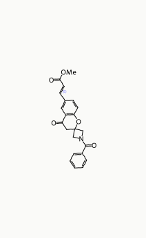 COC(=O)/C=C/c1ccc2c(c1)C(=O)CC1(CN(C(=O)c3ccccc3)C1)O2